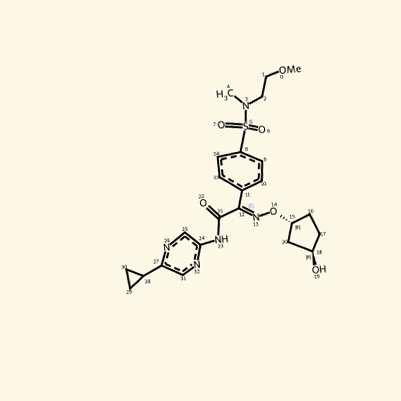 COCCN(C)S(=O)(=O)c1ccc(/C(=N\O[C@@H]2CC[C@@H](O)C2)C(=O)Nc2cnc(C3CC3)cn2)cc1